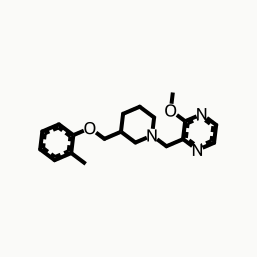 COc1nccnc1CN1CCCC(COc2ccccc2C)C1